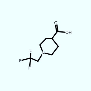 O=C(O)C1CCN(CC(F)(F)F)CC1